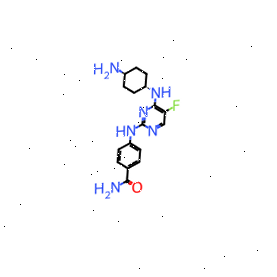 NC(=O)c1ccc(Nc2ncc(F)c(N[C@H]3CC[C@H](N)CC3)n2)cc1